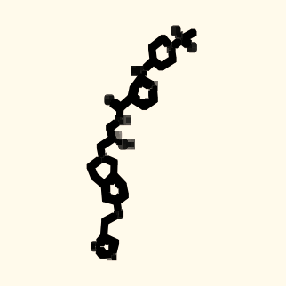 CS(=O)(=O)N1CCC(Nc2cc(C(=O)NC[C@H](O)CN3CCc4cc(OCc5cnco5)ccc4C3)ccn2)CC1